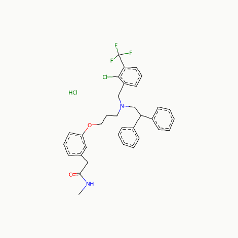 CNC(=O)Cc1cccc(OCCCN(Cc2cccc(C(F)(F)F)c2Cl)CC(c2ccccc2)c2ccccc2)c1.Cl